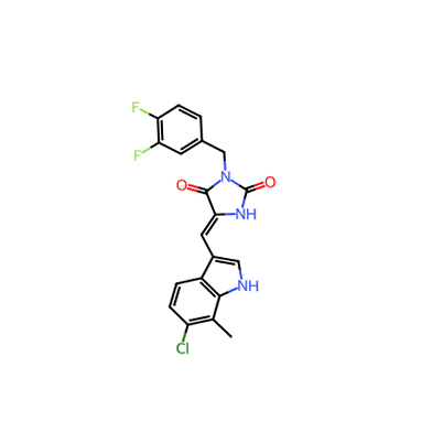 Cc1c(Cl)ccc2c(/C=C3\NC(=O)N(Cc4ccc(F)c(F)c4)C3=O)c[nH]c12